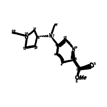 COC(=O)c1ccc(N(C)[C@@H]2CCN(C)C2)cn1